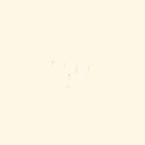 C=C.Cc1cnc(C(=O)N2CCC(=O)CC2)cn1